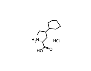 CCC(C[C@@H](N)C(=O)O)C1CCCCC1.Cl